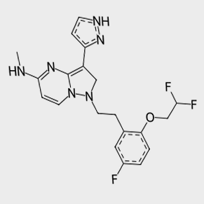 CNC1=NC2=C(c3cc[nH]n3)CN(CCc3cc(F)ccc3OCC(F)F)N2C=C1